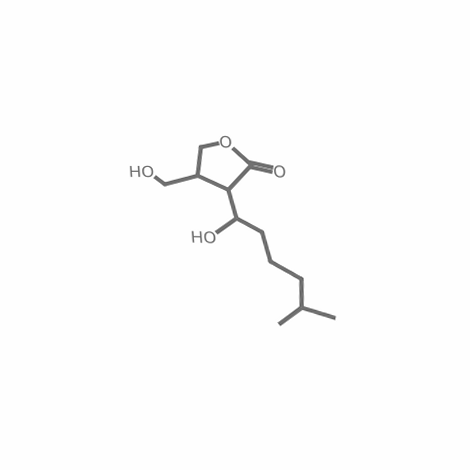 CC(C)CCCC(O)C1C(=O)OCC1CO